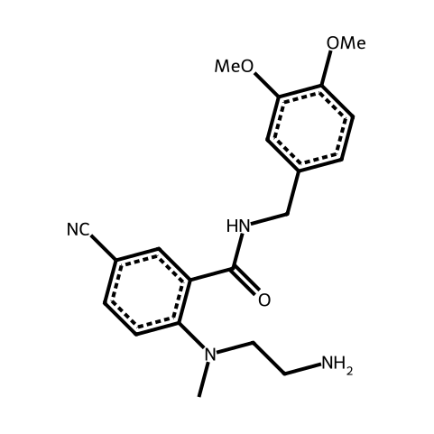 COc1ccc(CNC(=O)c2cc(C#N)ccc2N(C)CCN)cc1OC